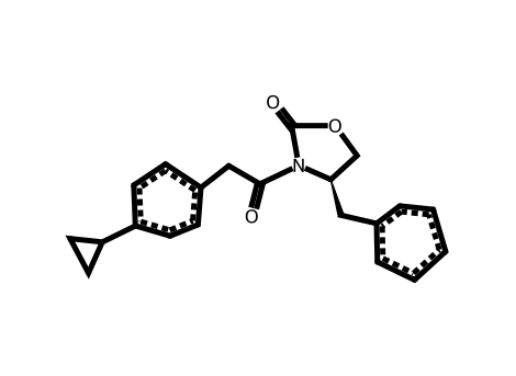 O=C(Cc1ccc(C2CC2)cc1)N1C(=O)OC[C@H]1Cc1ccccc1